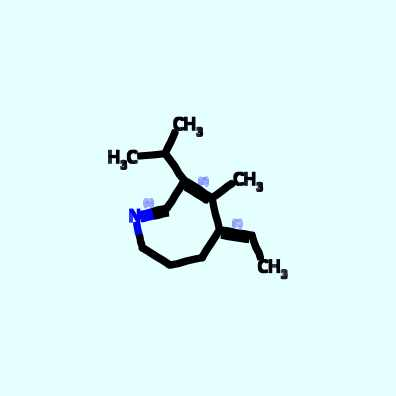 C/C=C1CCC/N=C/C(C(C)C)=C\1C